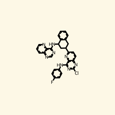 Fc1ccc(Nc2nc(Cl)nc3ccc(C4Cc5ccccc5C(Nc5ncnc6cccnc56)C4)nc23)cc1